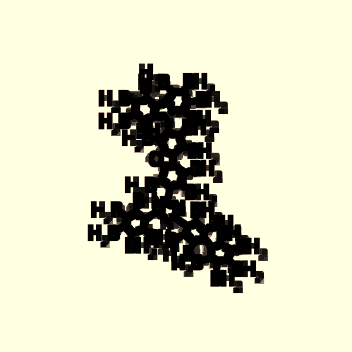 Bc1c(B)c(B)c(-c2nc(-c3c(B)c(B)c(-c4c(B)c(B)c(B)c(B)c4B)c(B)c3B)nc(-c3c(B)c(B)c4c(oc5c(B)c(-n6c7c(B)c(B)c(B)c(B)c7c7c(B)c(B)c(B)c(B)c76)c(B)c(B)c54)c3B)n2)c(B)c1B